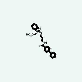 O=C(O)Cn1c(SCCCNC(=O)c2ccc(-c3ccccc3)cc2)nc2ccccc21